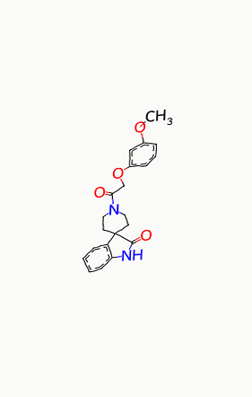 COc1cccc(OCC(=O)N2CCC3(CC2)C(=O)Nc2ccccc23)c1